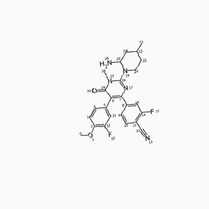 COc1ccc(-c2c(-c3ccc(C#N)c(F)c3)nc(N3CCC(C)CC3N)n(C)c2=O)cc1F